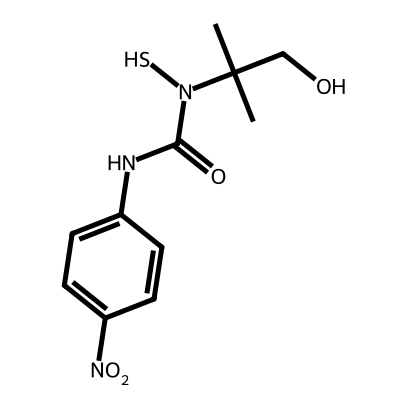 CC(C)(CO)N(S)C(=O)Nc1ccc([N+](=O)[O-])cc1